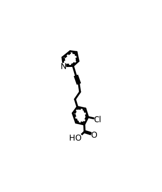 O=C(O)c1ccc(CCC#Cc2ccccn2)cc1Cl